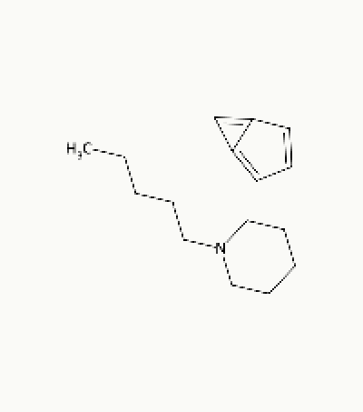 CCCCCN1CCCCC1.c1cc2cc-2c1